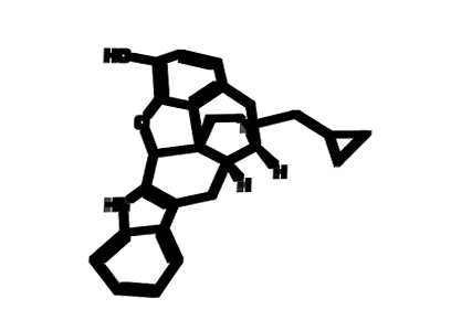 Oc1ccc2c3c1OC1c4[nH]c5ccccc5c4C[C@H]4[C@@H](C2)N(CC2CC2)CC[C@]314